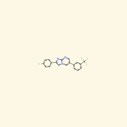 Fc1ccc(-c2cn3cc(-c4cccc(C(F)(F)F)c4)cnc3n2)cc1